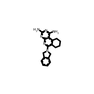 Nc1nc(N)c2c3c(c(N4Cc5ccccc5C4)nc2n1)CCCC3